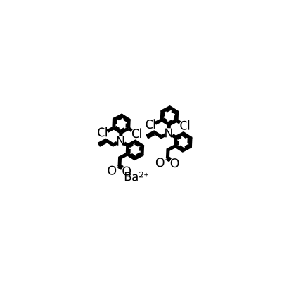 C=CCN(c1ccccc1CC(=O)[O-])c1c(Cl)cccc1Cl.C=CCN(c1ccccc1CC(=O)[O-])c1c(Cl)cccc1Cl.[Ba+2]